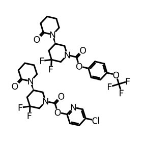 O=C(Oc1ccc(Cl)cn1)N1C[C@H](N2CCCCC2=O)CC(F)(F)C1.O=C(Oc1ccc(OC(F)(F)F)cc1)N1C[C@H](N2CCCCC2=O)CC(F)(F)C1